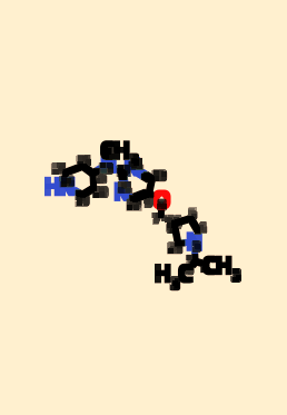 CC(C)N1CC[C@@H](COc2cnc(N(C)C3CCNCC3)nc2)C1